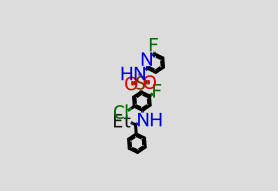 CCC(Nc1cc(F)c(S(=O)(=O)Nc2cccc(F)n2)cc1Cl)c1ccccc1